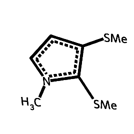 CSc1ccn(C)c1SC